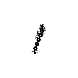 C/C(F)=C(\F)c1ccc(-c2ccc(-c3ccc(-c4cc(F)c(-c5cc(F)c(OC(F)(F)F)c(F)c5)c(F)c4)c(F)c3)cc2)cc1